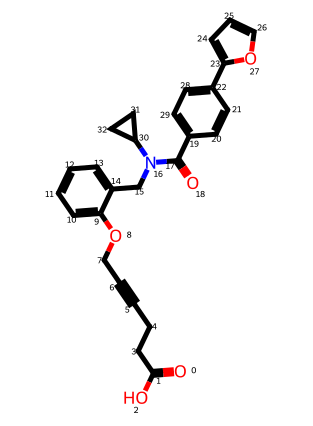 O=C(O)CCC#CCOc1ccccc1CN(C(=O)c1ccc(-c2ccco2)cc1)C1CC1